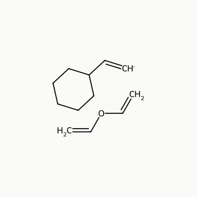 C=COC=C.[CH]=CC1CCCCC1